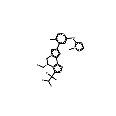 Cc1cnc(Nc2ccnn2C)cc1-c1cc2n(c1)C[C@H](CF)n1c-2nnc1C(F)(F)C(F)F